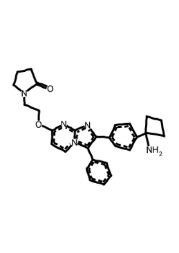 NC1(c2ccc(-c3nc4nc(OCCN5CCCC5=O)ccn4c3-c3ccccc3)cc2)CCC1